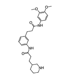 COc1ccc(NC(=O)CCc2cccc(NC(=O)CCC3CCCNC3)c2)cc1OC